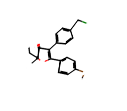 CCC1(C)OC(c2ccc(SC)cc2)=C(c2ccc(CF)cc2)C1=O